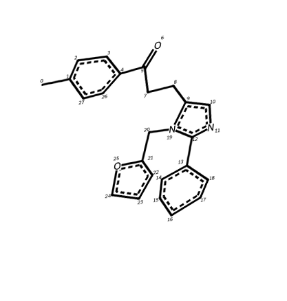 Cc1ccc(C(=O)CCc2cnc(-c3ccccc3)n2Cc2ccco2)cc1